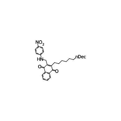 CCCCCCCCCCCCCCCCC1=C(CNc2ccc([N+](=O)[O-])cc2)C(=O)c2ccccc2C1=O